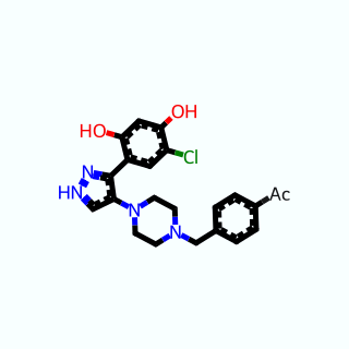 CC(=O)c1ccc(CN2CCN(c3c[nH]nc3-c3cc(Cl)c(O)cc3O)CC2)cc1